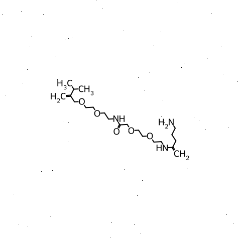 C=C(CCCN)NCCOCCOCC(=O)NCCOCCOCC(=C)C(C)C